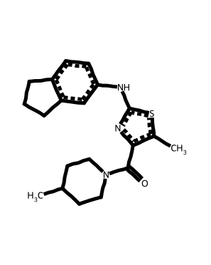 Cc1sc(Nc2ccc3c(c2)CCC3)nc1C(=O)N1CCC(C)CC1